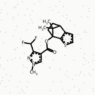 Cn1cc(C(=O)OC23CCC(c4ccsc42)C3(C)C)c(C(F)F)n1